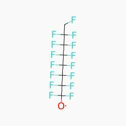 [O]C(F)(F)C(F)(F)C(F)(F)C(F)(F)C(F)(F)C(F)(F)C(F)(F)CF